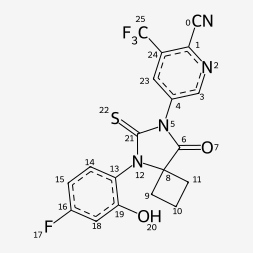 N#Cc1ncc(N2C(=O)C3(CCC3)N(c3ccc(F)cc3O)C2=S)cc1C(F)(F)F